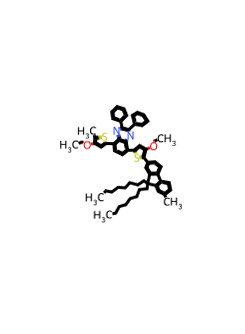 CCCCCCCCC1(CCCCCCCC)c2cc(C)ccc2-c2ccc(-c3sc(-c4ccc(-c5cc(OCC)c(C)s5)c5nc(-c6ccccc6)c(-c6ccccc6)nc45)cc3OCC)cc21